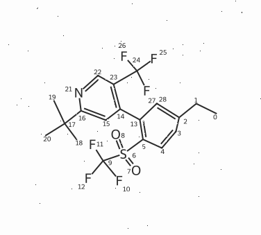 CCc1ccc(S(=O)(=O)C(F)(F)F)c(-c2cc(C(C)(C)C)ncc2C(F)(F)F)c1